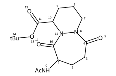 CC(=O)NC1CCC(=O)N2CCCC(C(=O)OC(C)(C)C)N2C1=O